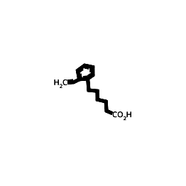 C=Cc1ccccc1CCCCCC(=O)O